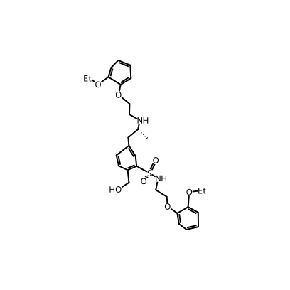 CCOc1ccccc1OCCN[C@H](C)Cc1ccc(CO)c(S(=O)(=O)NCCOc2ccccc2OCC)c1